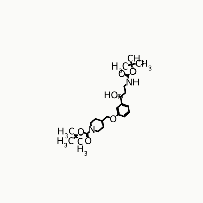 CC(C)(C)OC(=O)NCC[C@@H](O)c1cccc(OCC2CCN(C(=O)OC(C)(C)C)CC2)c1